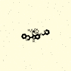 CC(C)(C)Sc1c(C(C=O)Cc2ccccc2)[nH]c2ccc(OCc3ccccn3)cc12